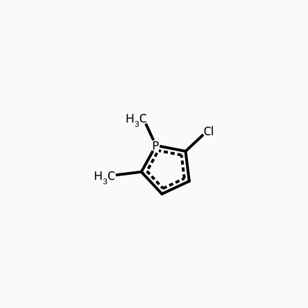 Cc1ccc(Cl)p1C